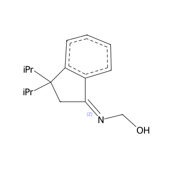 CC(C)C1(C(C)C)C/C(=N/CO)c2ccccc21